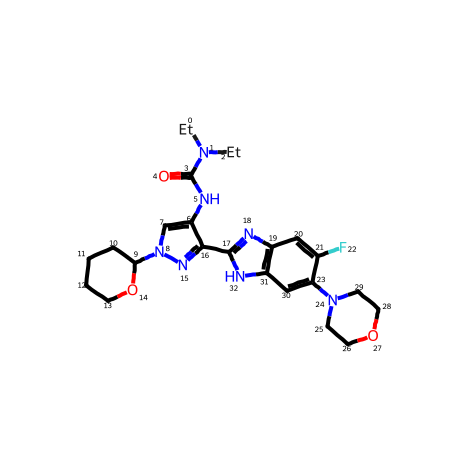 CCN(CC)C(=O)Nc1cn(C2CCCCO2)nc1-c1nc2cc(F)c(N3CCOCC3)cc2[nH]1